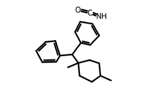 CC1CCC(C)(C(c2ccccc2)c2ccccc2)CC1.N=C=O